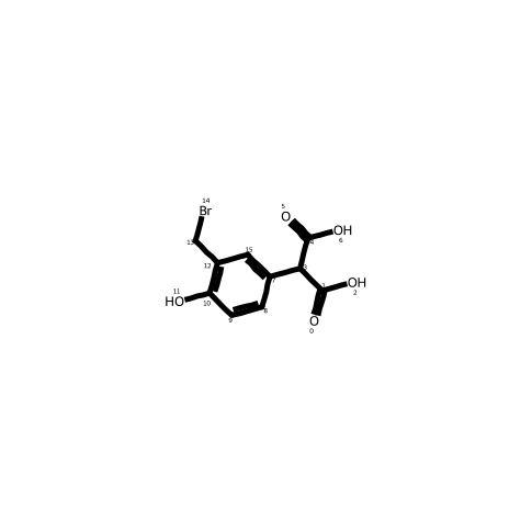 O=C(O)C(C(=O)O)c1ccc(O)c(CBr)c1